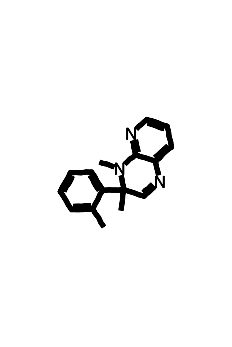 Cc1ccccc1C1(C)C=Nc2cccnc2N1C